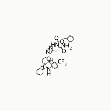 NC(=O)[C@H](Cc1cn(C[C@H]2CC[C@@H]3[C@H](O2)c2cc(C(F)(F)F)ccc2N[C@H]3C2C=CC=CC2)cn1)NC(=O)OCc1ccccc1